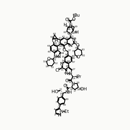 CCn1nccc1-c1ccc([C@H](CO)NC(=O)[C@@H]2C[C@@H](O)CN2C(=O)[C@H](C(C)C)n2cc3c(n2)c(Cl)nc2cc(COc4c(-c5c(C)ccc6c5cnn6C5CCCCO5)c(C5CC5)cc5c(N6C[C@@H]7C[C@H]6CN7C(=O)OC(C)(C)C)nc(OC6CCOCC6)nc45)ccc23)cc1